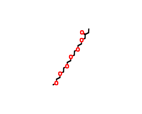 CCC(=O)COCCOCCOCCOCCOCCOC